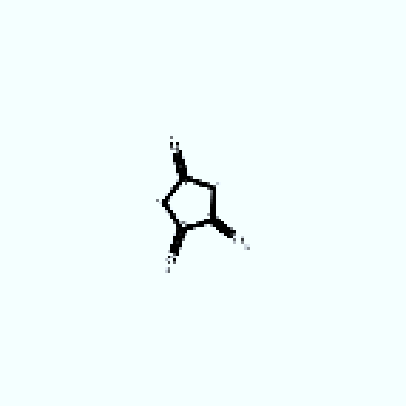 O=C1CC(=O)C(=O)C1